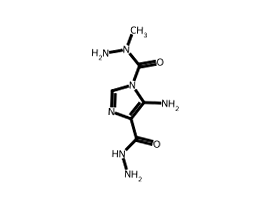 CN(N)C(=O)n1cnc(C(=O)NN)c1N